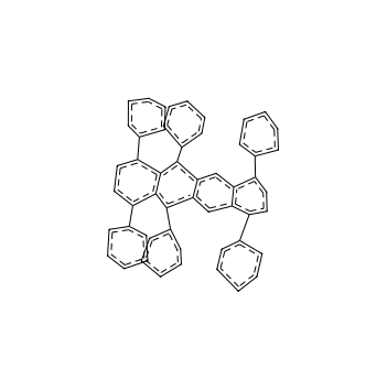 c1ccc(-c2ccc(-c3ccccc3)c3cc4c(-c5ccccc5)c5c(-c6ccccc6)ccc(-c6ccccc6)c5c(-c5ccccc5)c4cc23)cc1